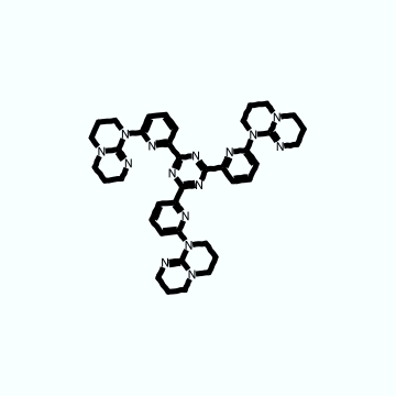 c1cc(-c2nc(-c3cccc(N4CCCN5CCCN=C54)n3)nc(-c3cccc(N4CCCN5CCCN=C54)n3)n2)nc(N2CCCN3CCCN=C32)c1